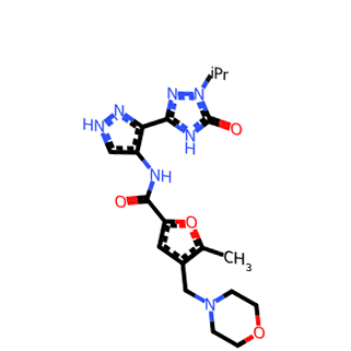 Cc1oc(C(=O)Nc2c[nH]nc2-c2nn(C(C)C)c(=O)[nH]2)cc1CN1CCOCC1